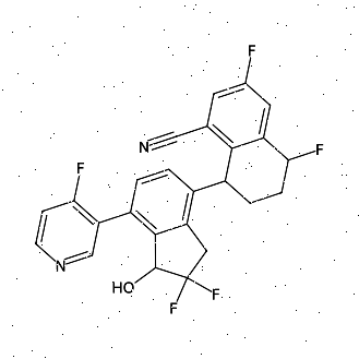 N#Cc1cc(F)cc2c1C(c1ccc(-c3cnccc3F)c3c1CC(F)(F)C3O)CCC2F